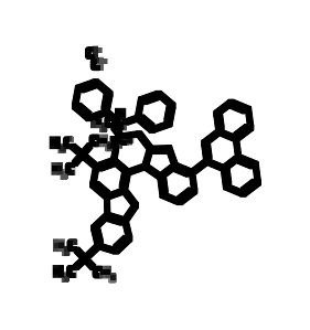 CCCC1=Cc2c(-c3cc4ccccc4c4ccccc34)cccc2C1c1c2c(cc(C(C)(C)C)[c]1[Zr+2][SiH](c1ccccc1)c1ccccc1)-c1cc(C(C)(C)C)ccc1C2.[Cl-].[Cl-]